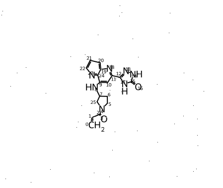 C=CC(=O)N1CCC(Nc2cc(-c3n[nH]c(=O)[nH]3)nc3cccnc23)C1